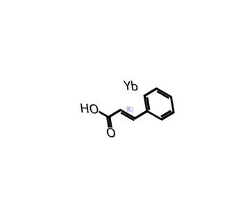 O=C(O)/C=C/c1ccccc1.[Yb]